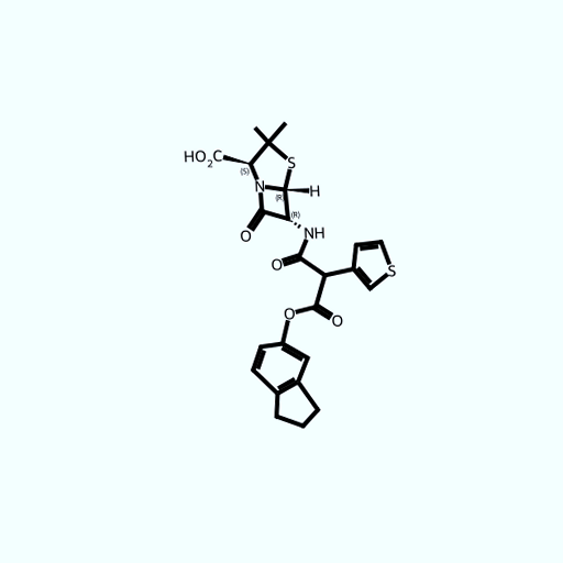 CC1(C)S[C@@H]2[C@H](NC(=O)C(C(=O)Oc3ccc4c(c3)CCC4)c3ccsc3)C(=O)N2[C@H]1C(=O)O